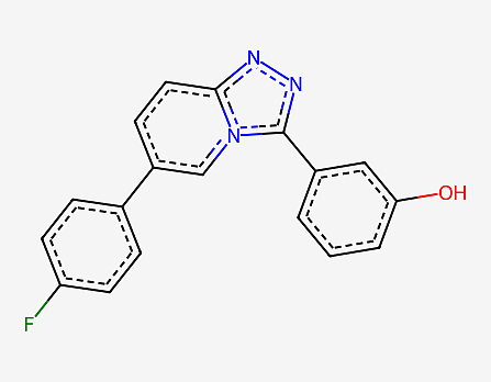 Oc1cccc(-c2nnc3ccc(-c4ccc(F)cc4)cn23)c1